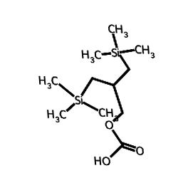 C[Si](C)(C)CC(COC(=O)O)C[Si](C)(C)C